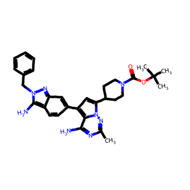 Cc1nc(N)c2c(-c3ccc4c(N)n(Cc5ccccc5)nc4c3)cc(C3CCN(C(=O)OC(C)(C)C)CC3)n2n1